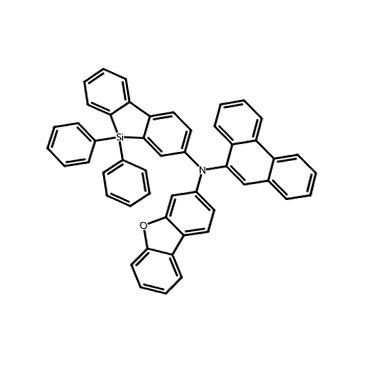 c1ccc([Si]2(c3ccccc3)c3ccccc3-c3ccc(N(c4ccc5c(c4)oc4ccccc45)c4cc5ccccc5c5ccccc45)cc32)cc1